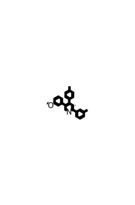 COc1cccc(-c2cnc(-c3cccc(C)c3)[c]c2-c2ccc(C)cc2)c1